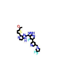 CC(=O)c1ccc(-c2nccc3[nH]c(-c4n[nH]c5ncc(-c6cncc(CN7CCC(F)(F)C7)c6)c(F)c45)nc23)s1